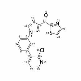 O=C(c1cn(-c2cccc(-c3cccnc3Cl)c2)cn1)c1nccs1